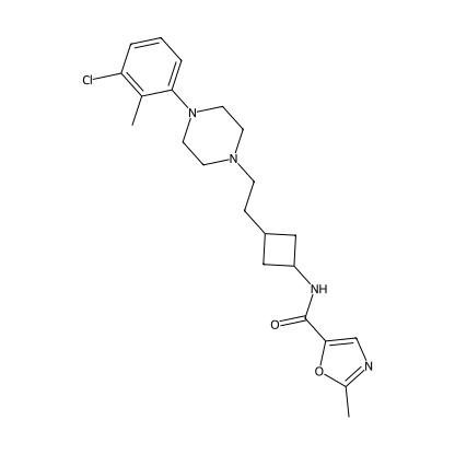 Cc1ncc(C(=O)NC2CC(CCN3CCN(c4cccc(Cl)c4C)CC3)C2)o1